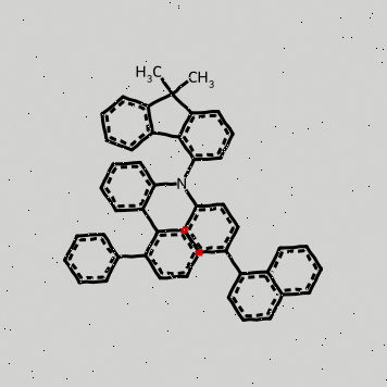 CC1(C)c2ccccc2-c2c(N(c3ccc(-c4cccc5ccccc45)cc3)c3ccccc3-c3ccccc3-c3ccccc3)cccc21